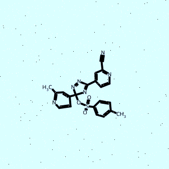 Cc1ccc(S(=O)(=O)OC2(c3ccnc(C)c3)N=NC(c3ccnc(C#N)c3)=N2)cc1